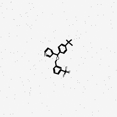 CC(C)(C)c1ccc(C(OCc2cccc(C(F)(F)F)c2)c2cccnc2)cc1